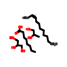 CC(O)CO.CCCCCCCC(=O)O.CCCCCCCC/C=C\CCCCCCCC(=O)O.OCC(O)CO